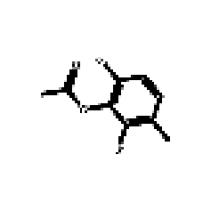 CC(=O)Oc1c(Br)ccc(C)c1Br